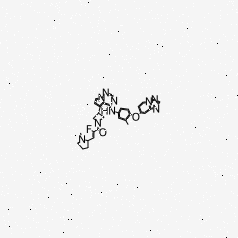 Cc1cc(Nc2ncnn3ccc(C4CN(C(=O)/C(F)=C/C5CCCN5C)C4)c23)ccc1Oc1ccn2ncnc2c1